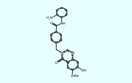 COc1cc2c(=O)n(Cc3ccc(C(=O)Nc4ccccc4N)cc3)cnc2cc1O